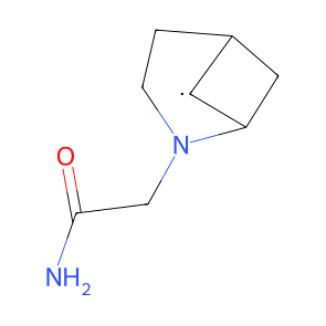 NC(=O)CN1CCC2[CH]C1C2